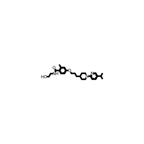 Cc1cc(OCCCC2CCN(c3ccc(C(C)C)cn3)CC2)ccc1C(=O)NCCO